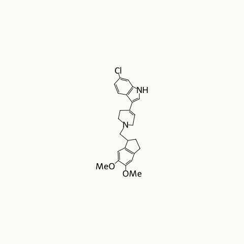 COc1cc2c(cc1OC)C(CN1CC=C(c3c[nH]c4cc(Cl)ccc34)CC1)CC2